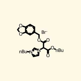 CCCCOC(=O)C(C(=O)OCc1ccc2c(c1)OCO2)n1cc[n+](CCCC)c1.[Br-]